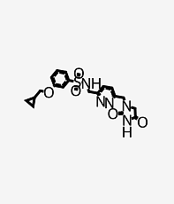 O=C1CN(Cc2ccc(CNS(=O)(=O)c3cccc(OCC4CC4)c3)nn2)C(=O)N1